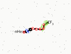 CCCCCCOc1cnc(-c2ccc(OCCOCCOCC(F)(F)OC(F)(F)C(F)(F)OC(F)(F)C(F)(F)C(F)(F)C(F)(F)F)cc2)nc1